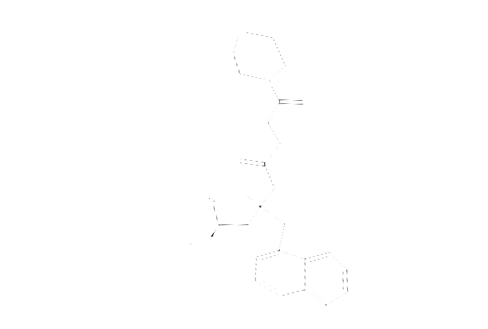 CC(CC(=O)CCC(=O)N1CCOCC1)(Cc1cccc2ccccc12)C[C@H](N)C(=O)O